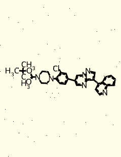 CC(C)(C)OC(=O)N1CCN(c2ccc(-c3cnc4c(-c5ccnc6ccccc56)cnn4c3)cc2Cl)CC1